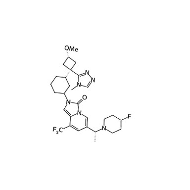 CO[C@H]1C[C@@](c2nncn2C)(C2CCCC(n3cc4c(C(F)(F)F)cc([C@@H](C)N5CCC(F)CC5)cn4c3=O)C2)C1